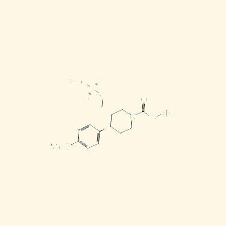 COc1ccc([C@@H]2CCN(C(=O)OC(C)(C)C)C[C@H]2COS(C)(=O)=O)cc1